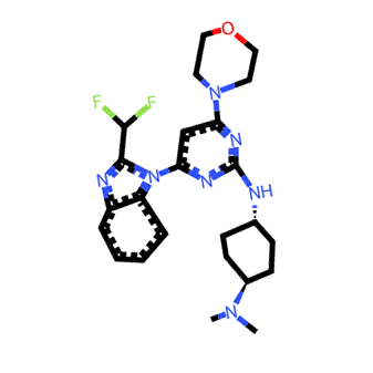 CN(C)[C@H]1CC[C@H](Nc2nc(N3CCOCC3)cc(-n3c(C(F)F)nc4ccccc43)n2)CC1